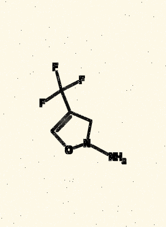 NN1CC(C(F)(F)F)=CO1